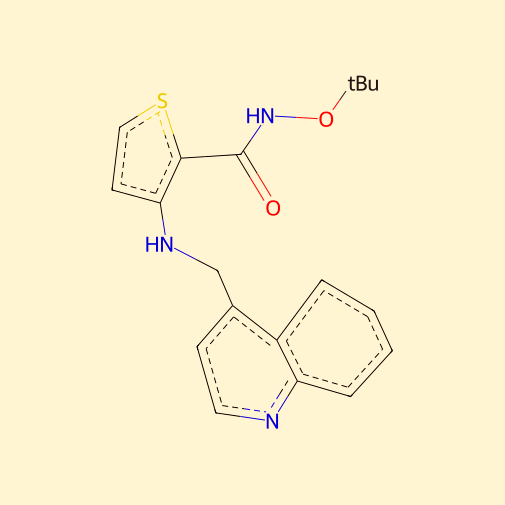 CC(C)(C)ONC(=O)c1sccc1NCc1ccnc2ccccc12